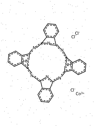 [Cl-].[Cl-].[Cl-].[Co+3].c1ccc2c(c1)-c1nc-2nc2[nH]c(nc3nc(nc4[nH]c(n1)c1ccccc41)-c1ccccc1-3)c1ccccc21